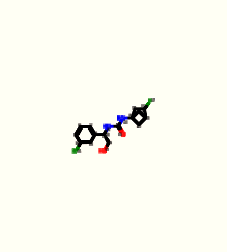 O=C(N[C@@H](CO)c1cccc(Br)c1)NC12CC(F)C(C1)C2